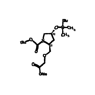 COC(=O)COC[C@@H]1C[C@@H](O[Si](C)(C)C(C)(C)C)CN1C(=O)OC(C)(C)C